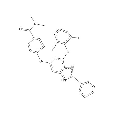 CN(C)C(=O)c1ccc(Oc2cc(Oc3c(F)cccc3F)c3nc(-c4ccccn4)[nH]c3c2)cc1